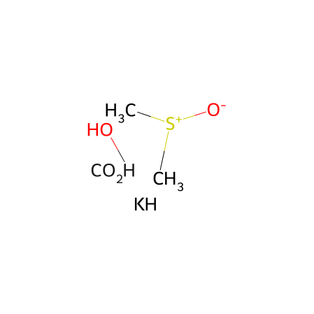 C[S+](C)[O-].O=C(O)O.[KH]